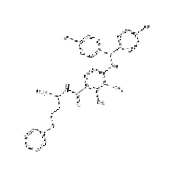 CCCc1ccc(C(Nc2ccc(C(=O)NC(CCOc3ccccc3)C(=O)O)c(C)c2C)c2ccc(CCC)cc2)cc1